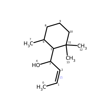 C/C=C\C(O)C1C(C)CCCC1(C)C